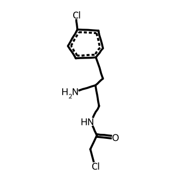 NC(CNC(=O)CCl)Cc1ccc(Cl)cc1